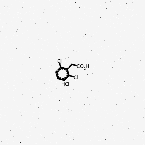 Cl.O=C(O)Cc1c(Cl)cccc1Cl